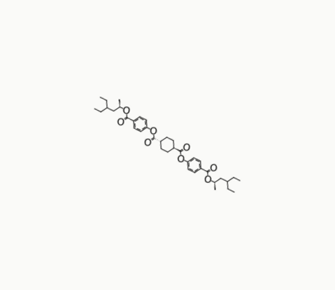 CCC(CC)C[C@@H](C)OC(=O)c1ccc(OC(=O)[C@H]2CC[C@H](C(=O)Oc3ccc(C(=O)O[C@H](C)CC(CC)CC)cc3)CC2)cc1